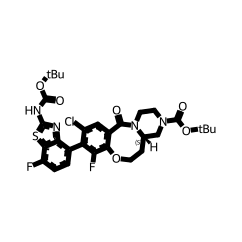 CC(C)(C)OC(=O)Nc1nc2c(-c3c(Cl)cc4c(c3F)OCC[C@H]3CN(C(=O)OC(C)(C)C)CCN3C4=O)ccc(F)c2s1